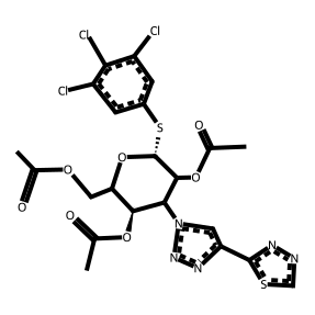 CC(=O)OCC1O[C@H](Sc2cc(Cl)c(Cl)c(Cl)c2)C(OC(C)=O)C(n2cc(-c3nncs3)nn2)[C@H]1OC(C)=O